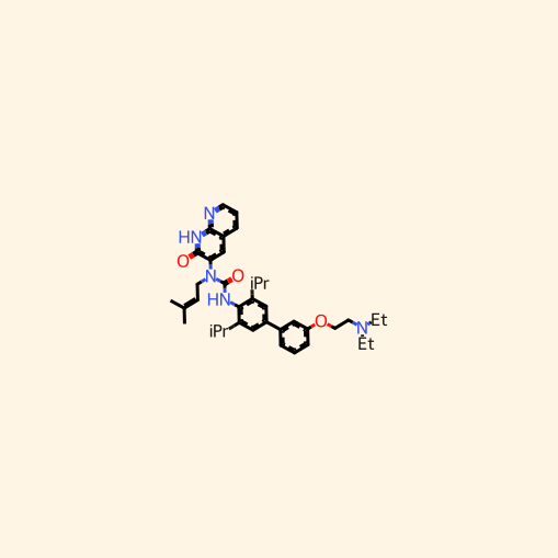 CCN(CC)CCOc1cccc(-c2cc(C(C)C)c(NC(=O)N(CC=C(C)C)c3cc4cccnc4[nH]c3=O)c(C(C)C)c2)c1